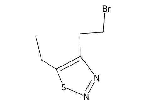 CCc1snnc1CCBr